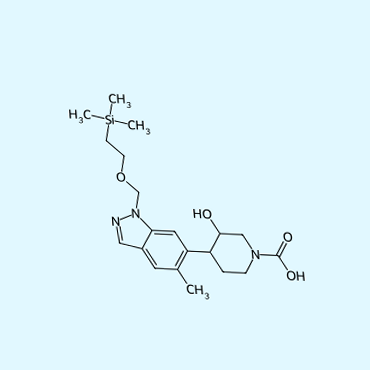 Cc1cc2cnn(COCC[Si](C)(C)C)c2cc1C1CCN(C(=O)O)CC1O